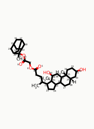 CC(CCC(=O)OCC(=O)OC1(C)C2CC3CC(C2)CC1C3)C1CCC2C3CC[C@H]4CC(O)CCC4(C)C3CC(O)[C@]12C